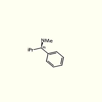 CN[C@@H](c1ccccc1)C(C)C